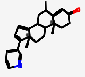 CC1CC2C3=CC=C(c4cccnc4)[C@@]3(C)CCC2[C@@]2(C)CCC(=O)C=C12